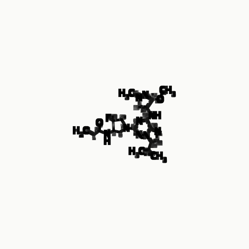 C=CC(=O)NC1CN(c2nc(Nc3cn(C)nc3OC)c3ncc(C(C)C)n3n2)CC1F